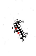 O=S(=O)(O)C(F)(F)C(F)(F)C(O)(F)C(F)(C(F)(F)F)C(F)(F)C(O)(F)C(F)=C(F)F